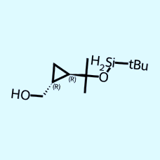 CC(C)(C)[SiH2]OC(C)(C)[C@@H]1C[C@H]1CO